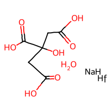 O.O=C(O)CC(O)(CC(=O)O)C(=O)O.[Hf].[NaH]